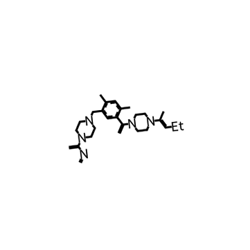 C=NC(=C)N1CCN(Cc2cc(C(=C)N3CCN(/C(C)=C/CC)CC3)c(C)cc2C)CC1